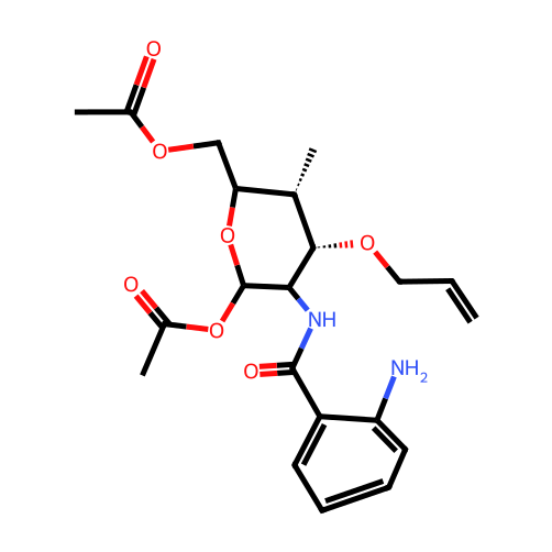 C=CCO[C@@H]1C(NC(=O)c2ccccc2N)C(OC(C)=O)OC(COC(C)=O)[C@@H]1C